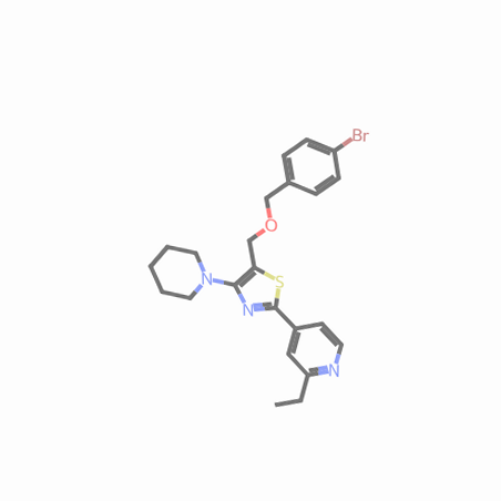 CCc1cc(-c2nc(N3CCCCC3)c(COCc3ccc(Br)cc3)s2)ccn1